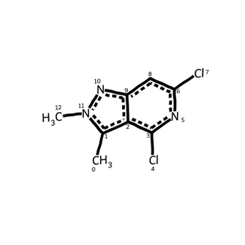 Cc1c2c(Cl)nc(Cl)cc2nn1C